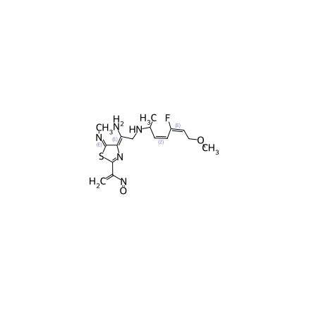 C=C(N=O)C1=NC(=C(/N)CNC(C)/C=C\C(F)=C/COC)/C(=N\C)S1